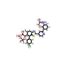 Cc1cc2nc(-c3ccnc(-c4cccc5c4OCC(=O)N5)c3)sc2c(-c2ccc(Cl)cc2)c1C(OC(C)(C)C)C(=O)O